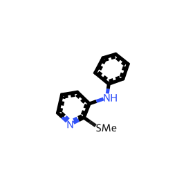 CSc1ncccc1Nc1ccccc1